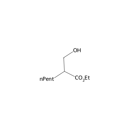 CCCCCC(CO)C(=O)OCC